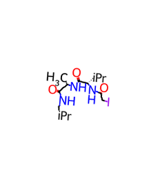 CC(C)CNC(=O)[C@H](C)NC(=O)[C@@H](NC(=O)CI)C(C)C